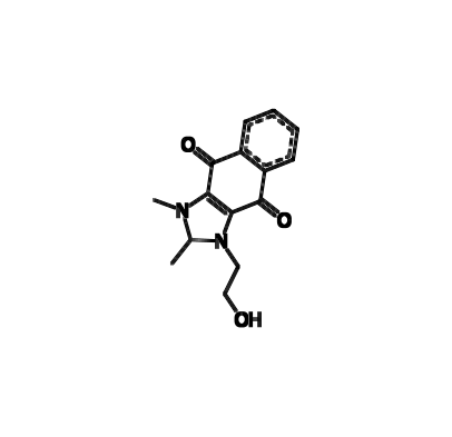 CC1N(C)C2=C(C(=O)c3ccccc3C2=O)N1CCO